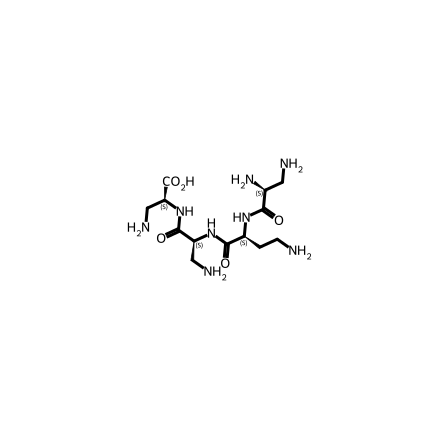 NCC[C@H](NC(=O)[C@@H](N)CN)C(=O)N[C@@H](CN)C(=O)N[C@@H](CN)C(=O)O